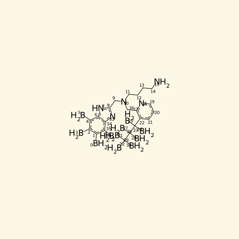 Bc1c(B)c(B)c2[nH]c(CN(CCCCN)Cc3ncccc3C(B)(B)C(B)(B)C(B)(B)B)nc2c1B